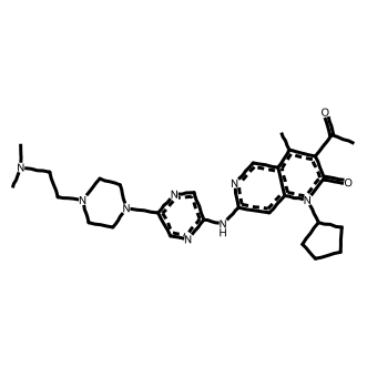 CC(=O)c1c(C)c2cnc(Nc3cnc(N4CCN(CCN(C)C)CC4)cn3)cc2n(C2CCCC2)c1=O